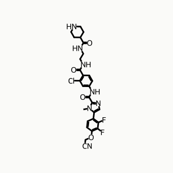 Cn1c(-c2ccc(OCC#N)c(F)c2F)cnc1C(=O)Nc1ccc(C(=O)NCCNC(=O)C2CCNCC2)c(Cl)c1